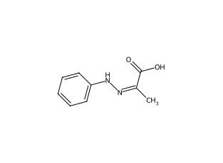 C/C(=N/Nc1ccccc1)C(=O)O